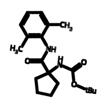 Cc1cccc(C)c1NC(=O)C1(NC(=O)OC(C)(C)C)CCCC1